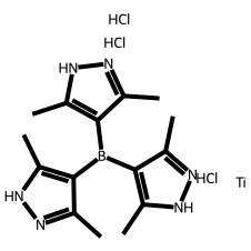 Cc1n[nH]c(C)c1B(c1c(C)n[nH]c1C)c1c(C)n[nH]c1C.Cl.Cl.Cl.[Ti]